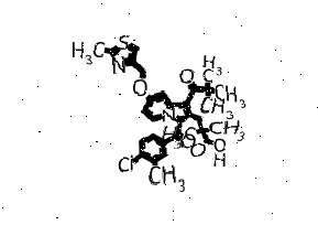 Cc1nc(COc2ccn3c(C(=O)c4ccc(Cl)c(C)c4)c(CC(C)(C)C(=O)O)c(C(=O)C(C)(C)C)c3c2)cs1